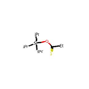 CCC(=S)O[Si](C(C)C)(C(C)C)C(C)C